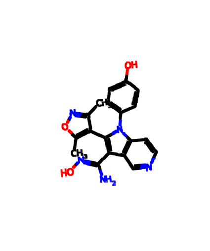 Cc1noc(C)c1-c1c(/C(N)=N/O)c2cnccc2n1-c1ccc(O)cc1